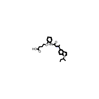 CCC(C)n1ccc2cc(/C(C)=C/C(=O)Nc3ccccc3OCCCC(=O)O)ccc21